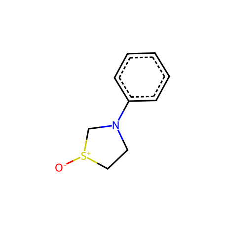 [O-][S+]1CCN(c2ccccc2)C1